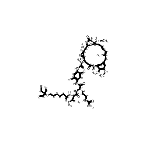 COc1cc2cc(c1Cl)N(C)C(=O)C[C@H](OC(=O)Nc1cc(F)c(NC(=O)[C@H](CCCNC(N)=O)NC(=O)[C@@H](NC(=O)CCCCCOC(C=O)(CBr)CBr)C(C)C)cc1Cl)[C@]1(C)O[C@H]1[C@H](C)[C@@H]1C[C@@](O)(NC(=O)O1)[C@H](OC)/C=C/C=C(\C)C2